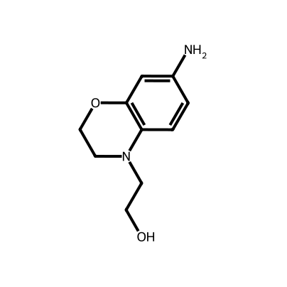 Nc1ccc2c(c1)OCCN2CCO